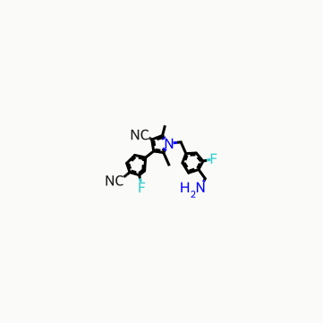 Cc1c(C#N)c(-c2ccc(C#N)c(F)c2)c(C)n1Cc1ccc(CN)c(F)c1